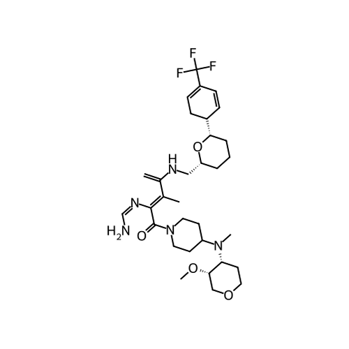 C=C(NC[C@H]1CCC[C@@H](C2C=CC(C(F)(F)F)=CC2)O1)/C(C)=C(\N=C/N)C(=O)N1CCC(N(C)[C@@H]2CCOC[C@@H]2OC)CC1